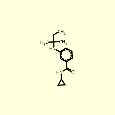 CCC(C)(C)Nc1cccc(C(=O)NC2CC2)c1